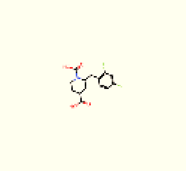 O=C(O)C1CCN(C(=O)O)C(Cc2ccc(F)cc2F)C1